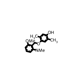 CNc1cccc(OC)c1COc1cc(C)c(O)cc1C